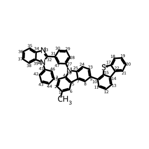 Cc1ccc2c(c1)c1cc(-c3cccc4c3sc3ccccc34)ccc1n2-c1cccc(-c2nc3ccccc3n2-c2ccccc2)c1